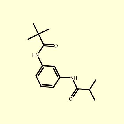 CC(C)C(=O)Nc1cccc(NC(=O)C(C)(C)C)c1